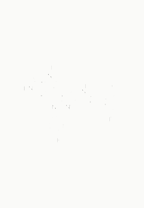 Cn1cc2c3c(c[nH]c(=O)c31)CN(c1ccc(F)cc1)c1ncc(NC(=O)Cc3cc(F)ccc3Cl)cc1-2